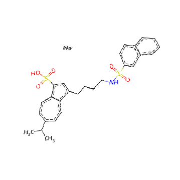 CC(C)c1ccc2c(CCCCNS(=O)(=O)c3ccc4ccccc4c3)cc(S(=O)(=O)O)c-2cc1.[Na]